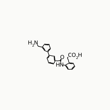 NCc1cccc(-c2cccc(C(=O)Nc3ccccc3CC(=O)O)c2)c1